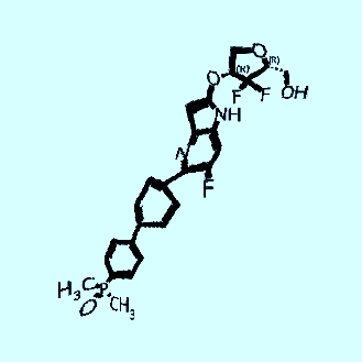 CP(C)(=O)c1ccc(-c2ccc(-c3nc4cc(O[C@@H]5CO[C@H](CO)C5(F)F)[nH]c4cc3F)cc2)cc1